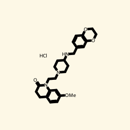 COc1ccc2c(c1)N(CCN1CCC(NCc3ccc4c(c3)OCCO4)CC1)C(=O)CC2.Cl